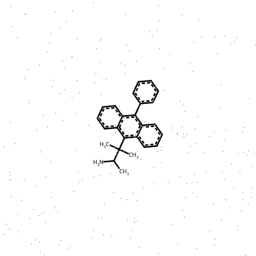 CC(N)C(C)(C)c1c2ccccc2c(-c2ccccc2)c2ccccc12